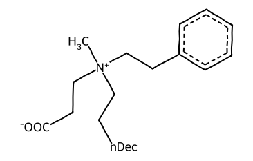 CCCCCCCCCCCC[N+](C)(CCC(=O)[O-])CCc1ccccc1